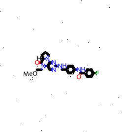 COCCN1C(=O)[C@@H]2CCCN2c2nc(NCc3ccc(NC(=O)c4ccc(F)cc4)cc3)ncc21